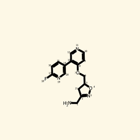 NCC1=NOC(COc2ccncc2-c2ccc(F)nc2)C1